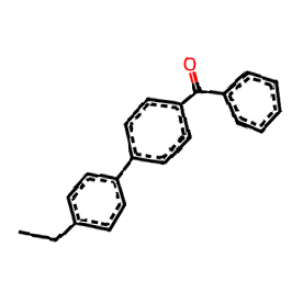 CCc1ccc(-c2ccc(C(=O)c3ccccc3)cc2)cc1